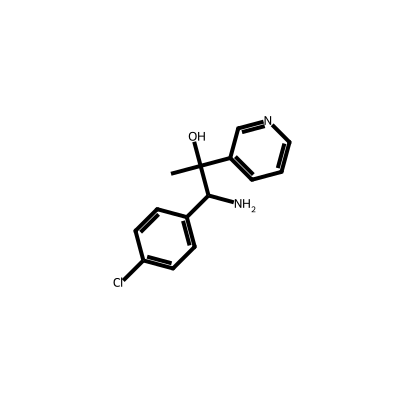 CC(O)(c1cccnc1)C(N)c1ccc(Cl)cc1